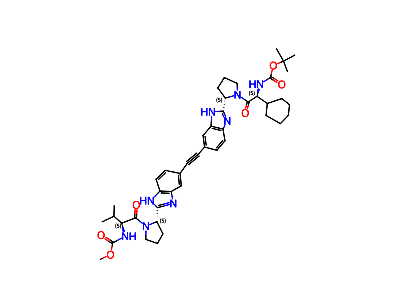 COC(=O)N[C@H](C(=O)N1CCC[C@H]1c1nc2cc(C#Cc3ccc4nc([C@@H]5CCCN5C(=O)[C@@H](NC(=O)OC(C)(C)C)C5CCCCC5)[nH]c4c3)ccc2[nH]1)C(C)C